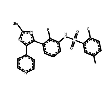 CC(C)(C)c1nc(-c2cccc(NS(=O)(=O)c3cc(F)ccc3F)c2F)c(-c2ccncc2)s1